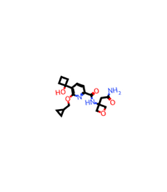 NC(=O)CC1(NC(=O)c2ccc(C3(O)CCC3)c(OCC3CC3)n2)COC1